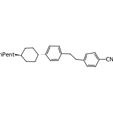 CCCCC[C@H]1CC[C@H](c2ccc(CCc3ccc(C#N)cc3)cc2)CC1